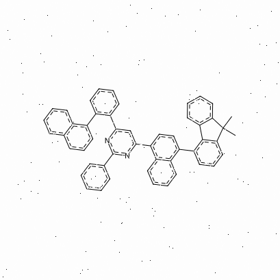 CC1(C)c2ccccc2-c2c(-c3ccc(-c4cc(-c5ccccc5-c5cccc6ccccc56)nc(-c5ccccc5)n4)c4ccccc34)cccc21